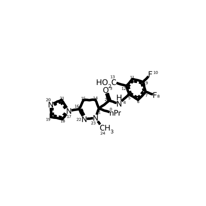 CCCC1(C(=O)Nc2cc(F)c(F)cc2C(=O)O)CCC(n2ccnc2)=NN1C